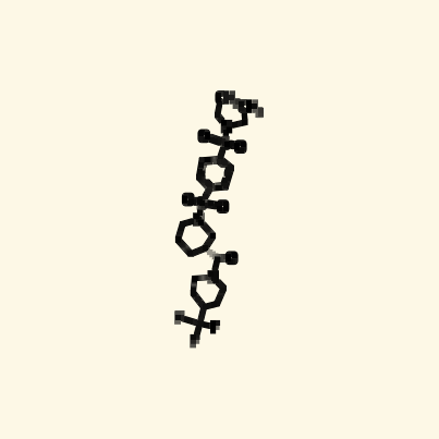 CCN(CC)S(=O)(=O)c1ccc(S(=O)(=O)N2CCC[C@@H](C(=O)N3CCC(C(F)(F)F)CC3)C2)cc1